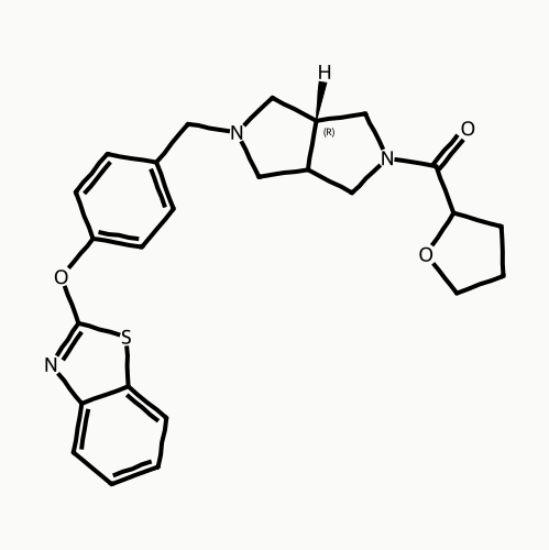 O=C(C1CCCO1)N1CC2CN(Cc3ccc(Oc4nc5ccccc5s4)cc3)C[C@@H]2C1